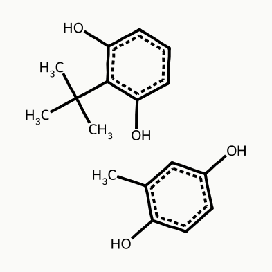 CC(C)(C)c1c(O)cccc1O.Cc1cc(O)ccc1O